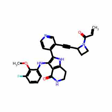 C=CC(=O)N1CCC1C#Cc1cnccc1-c1[nH]c2c(c1Nc1cccc(F)c1OC)C(=O)NCC2